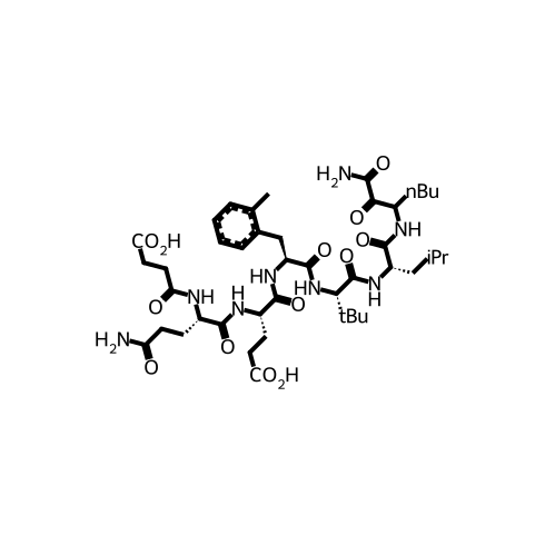 CCCCC(NC(=O)[C@H](CC(C)C)NC(=O)[C@@H](NC(=O)[C@H](Cc1ccccc1C)NC(=O)[C@H](CCC(=O)O)NC(=O)[C@H](CCC(N)=O)NC(=O)CCC(=O)O)C(C)(C)C)C(=O)C(N)=O